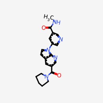 CNC(=O)c1cncc(-n2ccc3cc(C(=O)N4CCCCC4)cnc32)c1